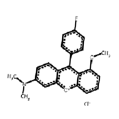 COc1cccc2[o+]c3cc(N(C)C)ccc3c(-c3ccc(F)cc3)c12.[Cl-]